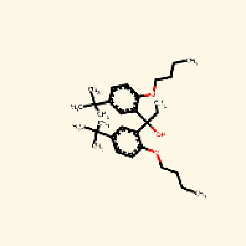 CCCCOc1ccc(C(C)(C)C)cc1C(O)(CC)c1cc(C(C)(C)C)ccc1OCCCC